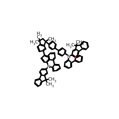 CC1(C)CC(C)(c2ccc(-c3ccc(N(c4ccc5c(c4)C(C)(C)c4ccccc4-5)c4ccccc4-c4ccccc4)cc3)cc2)c2cc(-c3ccc(N(c4ccc5c(c4)C(C)(C)c4ccccc4-5)c4ccccc4-c4ccccc4)cc3)ccc21